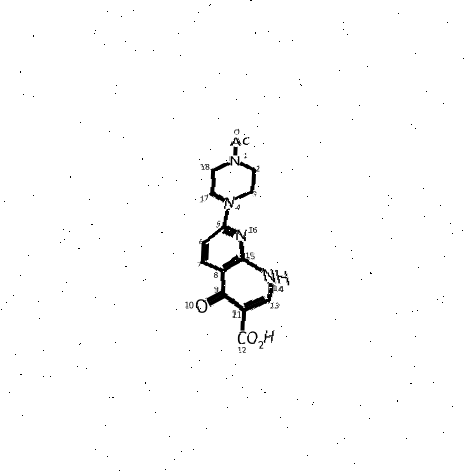 CC(=O)N1CCN(c2ccc3c(=O)c(C(=O)O)c[nH]c3n2)CC1